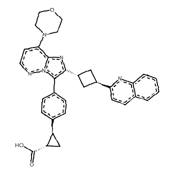 O=C(O)[C@H]1C[C@@H]1c1ccc(-c2c([C@H]3C[C@H](c4ccc5ccccc5n4)C3)nc3c(N4CCOCC4)ccnn23)cc1